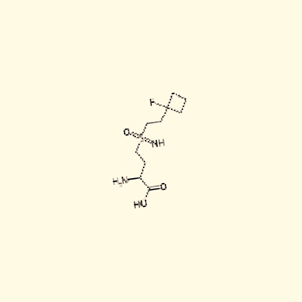 N=S(=O)(CC[C@H](N)C(=O)O)CCC1(F)CCC1